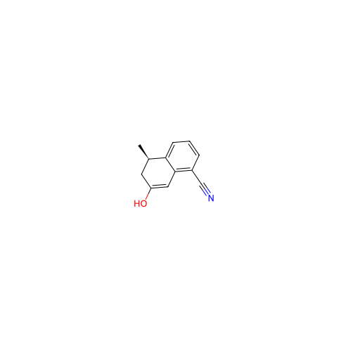 C[C@@H]1CC(O)=Cc2c(C#N)cccc21